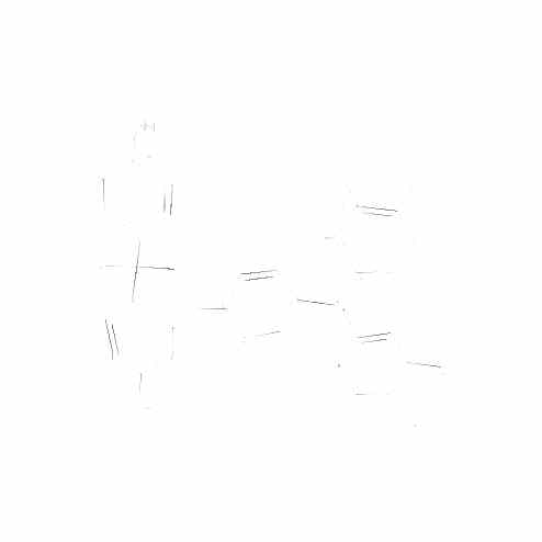 Cc1ccc(N(c2ccc(CCC(C)(c3ccc(O)cc3)c3ccc(O)cc3)cc2)c2ccc(C)c(C)c2)cc1C